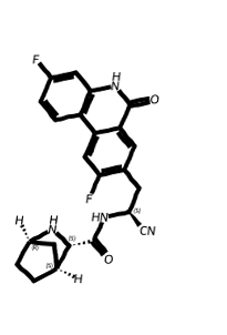 N#C[C@H](Cc1cc2c(=O)[nH]c3cc(F)ccc3c2cc1F)NC(=O)[C@H]1N[C@@H]2CC[C@H]1C2